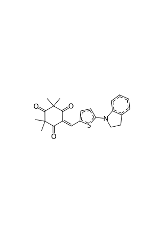 CC1(C)C(=O)C(=Cc2ccc(N3CCc4ccccc43)s2)C(=O)C(C)(C)C1=O